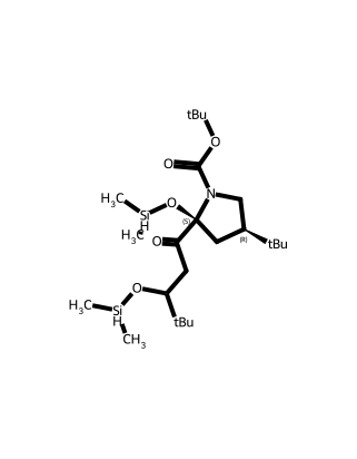 C[SiH](C)OC(CC(=O)[C@@]1(O[SiH](C)C)C[C@H](C(C)(C)C)CN1C(=O)OC(C)(C)C)C(C)(C)C